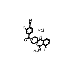 Cl.N#Cc1ccc(C(=O)N2CCC3(CC2)N=C(N)c2c(F)cccc2N3)cc1F